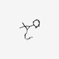 CC1(C)C(CO)C1c1ccccc1